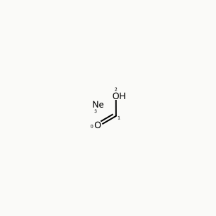 O=CO.[Ne]